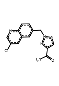 NC(=O)c1cnn(Cc2ccc3ncc(Cl)cc3c2)n1